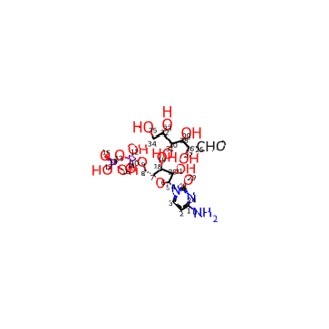 Nc1ccn([C@@H]2O[C@H](COP(=O)(O)OP(=O)(O)O)[C@@H](O)[C@H]2O)c(=O)n1.O=C[C@H](O)[C@@H](O)[C@@H](O)[C@H](O)CO